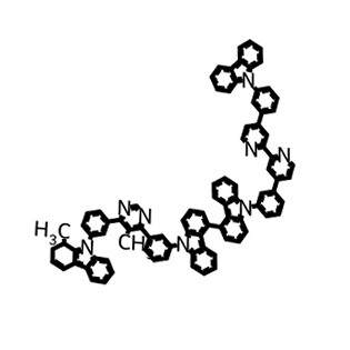 Cc1c(-c2cccc(-n3c4c(c5ccccc53)C=CCC4C)c2)ncnc1-c1cccc(-n2c3ccccc3c3c(-c4cccc5c4c4ccccc4n5-c4cccc(-c5ccnc(-c6cc(-c7cccc(-n8c9ccccc9c9ccccc98)c7)ccn6)c5)c4)cccc32)c1